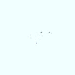 CC(C)c1cc(C(=O)N2CCOCC2)c2ccc3nc(-c4nnco4)cn3c2n1